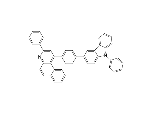 c1ccc(-c2cc(-c3ccc(-c4ccc5c(c4)c4ccccc4n5-c4ccccc4)cc3)c3c(ccc4ccccc43)n2)cc1